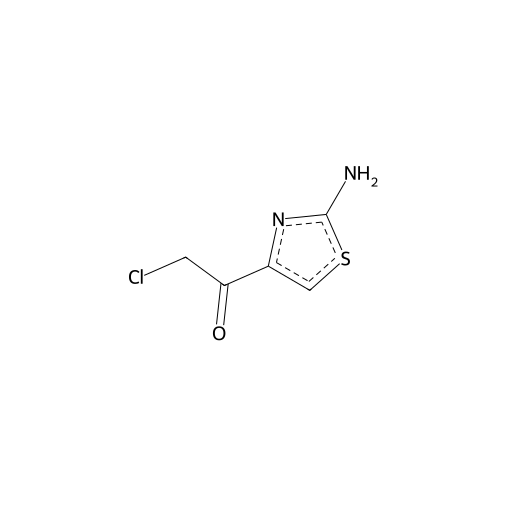 Nc1nc(C(=O)CCl)cs1